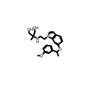 COc1cccc(C(C)Oc2ccc3ccn(CCNC(C)(CO)CO)c3c2)c1